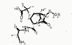 C[C@@H](N)C(=O)NNC(=O)[C@@H]1CC[C@@H]2CN1C(=O)N2OS(=O)(=O)O.O=C(O)C(F)(F)F